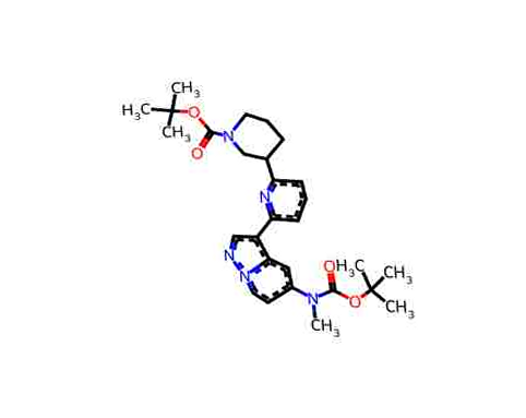 CN(C(=O)OC(C)(C)C)c1ccn2ncc(-c3cccc(C4CCCN(C(=O)OC(C)(C)C)C4)n3)c2c1